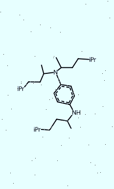 CC(C)CCC(C)Nc1ccc(N(C(C)CCC(C)C)C(C)CCC(C)C)cc1